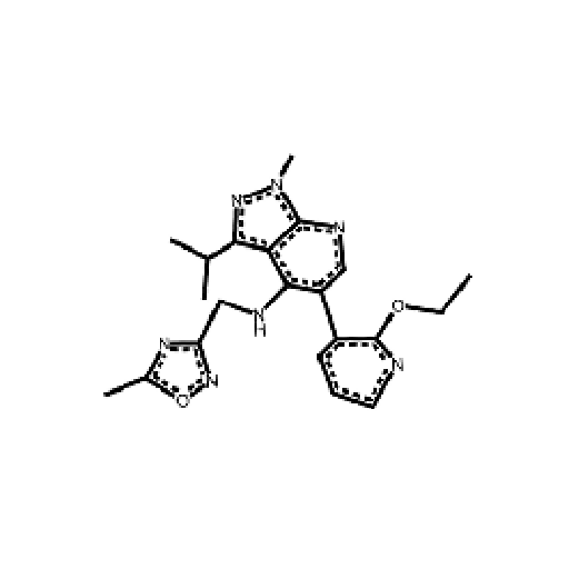 CCOc1ncccc1-c1cnc2c(c(C(C)C)nn2C)c1NCc1noc(C)n1